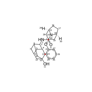 O=C(NC1C2CC3CC1CC(O)(C3)C2)N1[C@@H]2CC[C@H]1C[C@H](Oc1ccccc1)C2